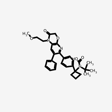 COCCN1C(=O)COc2nc(-c3ccc(C4(N(C(=O)O)C(C)(C)C)CCC4)cc3)c(-c3ccccc3)cc21